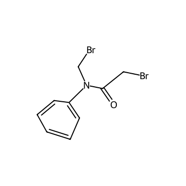 O=C(CBr)N(CBr)c1ccccc1